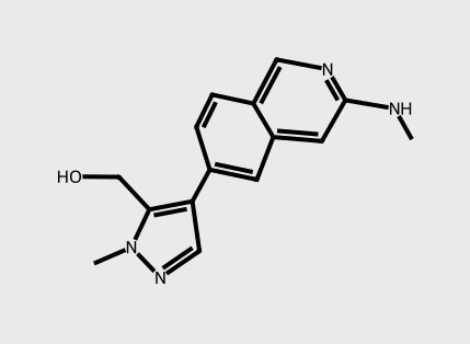 CNc1cc2cc(-c3cnn(C)c3CO)ccc2cn1